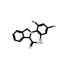 CC(C)c1cc(Br)c(N2Cc3ccccc3C2C(=O)C=O)c(Br)c1